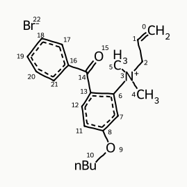 C=CC[N+](C)(C)c1cc(OCCCC)ccc1C(=O)c1ccccc1.[Br-]